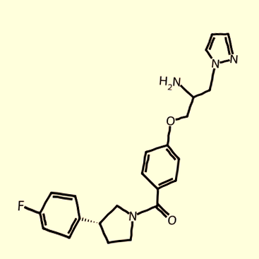 NC(COc1ccc(C(=O)N2CC[C@H](c3ccc(F)cc3)C2)cc1)Cn1cccn1